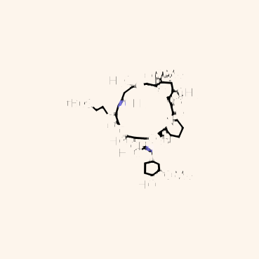 CO[C@H]1C[C@@H](C)C/C(C)=C/[C@@H](CCCSC(C)(C)C)C(=O)C[C@H](O)[C@@H](C)[C@@H](/C(C)=C/[C@@H]2CC[C@@H](O)[C@H](OC)C2)OC(=O)[C@@H]2CCCCN2C(=O)C(=O)[C@]2(O)O[C@H]1[C@@H](OC)C[C@H]2C